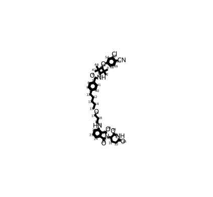 CC1(C)C(NC(=O)c2ccc(CCCCCOCCCNc3cccc4c3C(=O)N(C3CCC(=O)NC3=O)C4=O)cc2)C(C)(C)C1Oc1ccc(C#N)c(Cl)c1